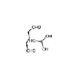 O=CCCCC=O.OB(O)O